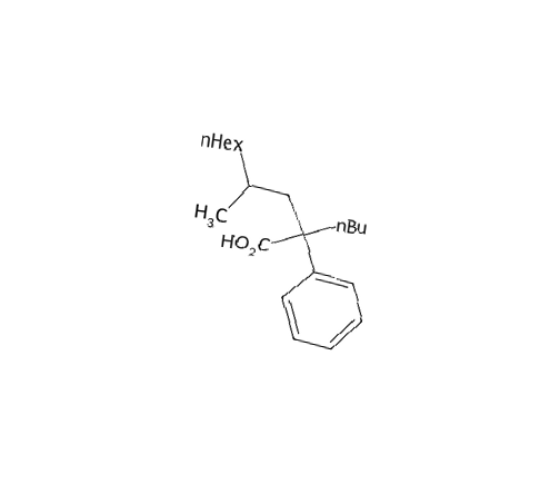 CCCCCCC(C)CC(CCCC)(C(=O)O)c1ccccc1